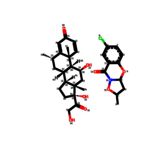 CC1CC2Oc3ccc(Cl)cc3C(=O)N2O1.C[C@H]1C[C@@H]2[C@H]([C@@H](O)C[C@@]3(C)[C@H]2CC[C@]3(O)C(=O)CO)[C@@]2(C)C=CC(=O)C=C12